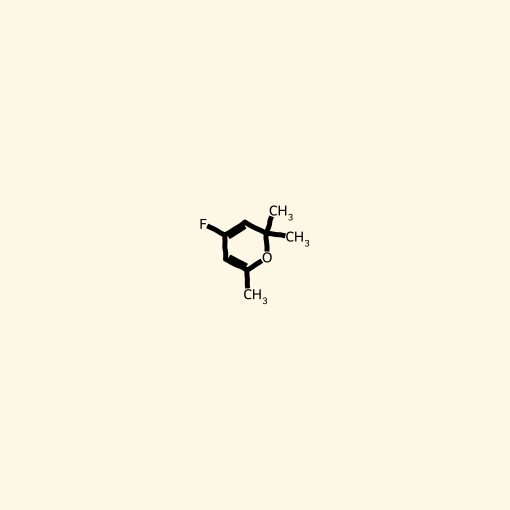 CC1=CC(F)=CC(C)(C)O1